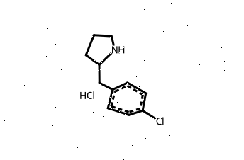 Cl.Clc1ccc(CC2CCCN2)cc1